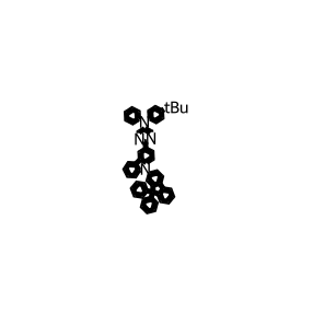 CC(C)(C)c1ccc(N(c2ccccc2)c2cnc(-c3ccc4c(c3)c3ccccc3n4-c3ccc4c(c3)C(c3ccccc3)(c3ccccc3)c3ccccc3-4)nc2)cc1